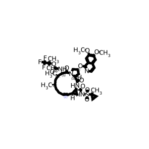 COc1cc2ccnc(O[C@@H]3C[C@H]4C(=O)N[C@]5(C(=O)NS(=O)(=O)C6(C)CC6)C[C@H]5/C=C\CC[C@@H](C)C[C@@H](C)[C@H](NC(=O)OC(C)(C)C(F)(F)F)C(=O)N4C3)c2cc1OC